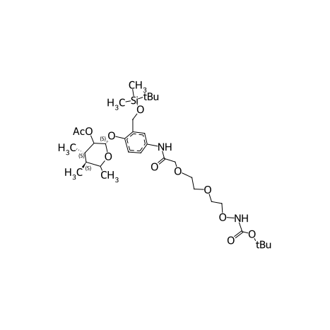 CC(=O)OC1[C@H](Oc2ccc(NC(=O)COCCOCCONC(=O)OC(C)(C)C)cc2CO[Si](C)(C)C(C)(C)C)OC(C)[C@@H](C)[C@@H]1C